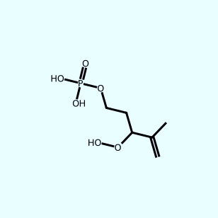 C=C(C)C(CCOP(=O)(O)O)OO